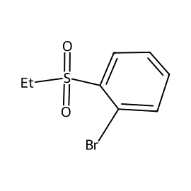 CCS(=O)(=O)c1ccccc1Br